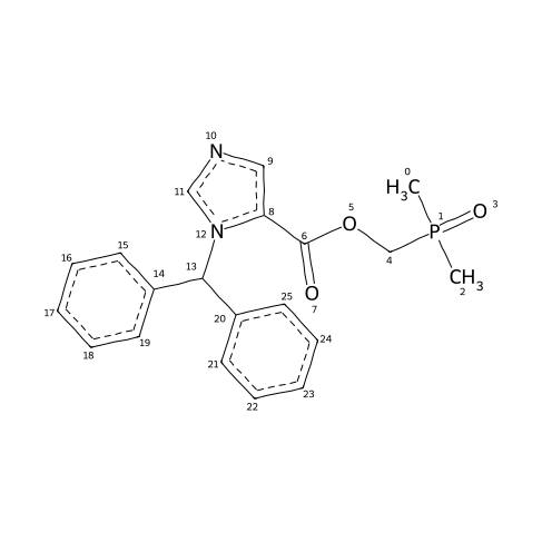 CP(C)(=O)COC(=O)c1cncn1C(c1ccccc1)c1ccccc1